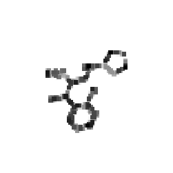 CCOC(=O)C(=CNC1CCCC1)C(=O)c1cccnc1Cl